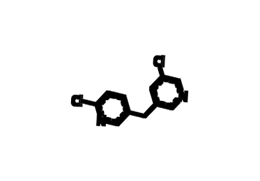 Clc1cncc(Cc2ccc(Cl)nc2)c1